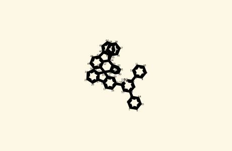 c1ccc(-c2cc(-c3ccccc3)nc(-c3ccc4c(c3)C3(c5ccccc5-4)c4ccccc4C4(c5ccccc5)c5ccccc5-c5cccc3c54)c2)cc1